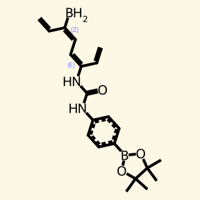 B/C(C=C)=C/C=C(\C=C)NC(=O)Nc1ccc(B2OC(C)(C)C(C)(C)O2)cc1